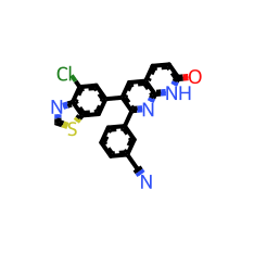 N#Cc1cccc(-c2nc3[nH]c(=O)ccc3cc2-c2cc(Cl)c3ncsc3c2)c1